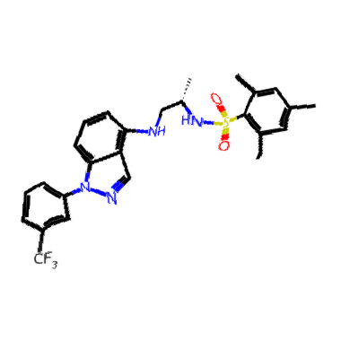 Cc1cc(C)c(S(=O)(=O)N[C@@H](C)CNc2cccc3c2cnn3-c2cccc(C(F)(F)F)c2)c(C)c1